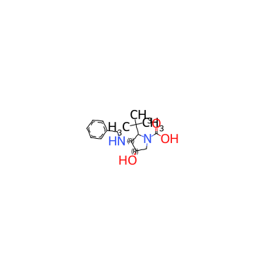 CC(C)(C)C1[C@@H](NCc2ccccc2)[C@H](O)CN1C(=O)O